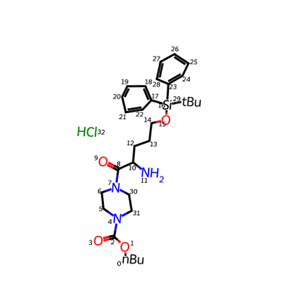 CCCCOC(=O)N1CCN(C(=O)C(N)CCCO[Si](c2ccccc2)(c2ccccc2)C(C)(C)C)CC1.Cl